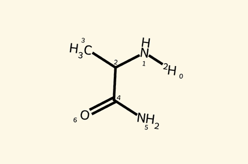 [2H]NC(C)C(N)=O